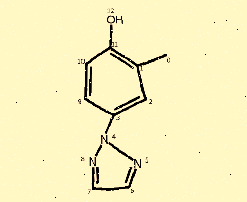 Cc1cc(-n2nccn2)ccc1O